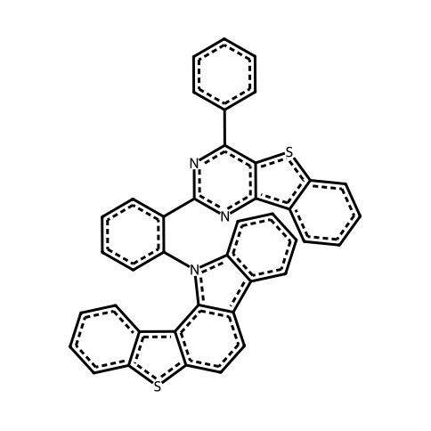 c1ccc(-c2nc(-c3ccccc3-n3c4ccccc4c4ccc5sc6ccccc6c5c43)nc3c2sc2ccccc23)cc1